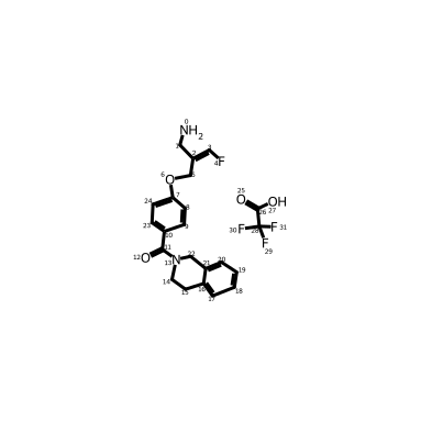 NC/C(=C/F)COc1ccc(C(=O)N2CCc3ccccc3C2)cc1.O=C(O)C(F)(F)F